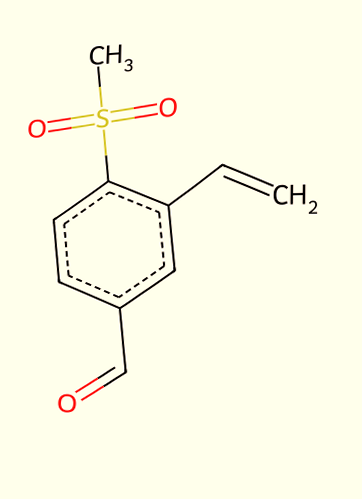 C=Cc1cc(C=O)ccc1S(C)(=O)=O